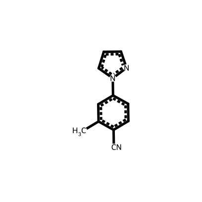 Cc1cc(-n2cccn2)ccc1C#N